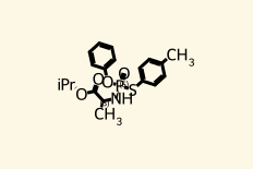 Cc1ccc(S[P@](=O)(N[C@@H](C)C(=O)OC(C)C)Oc2ccccc2)cc1